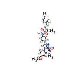 C\C=C/C(Cl)=C\C=C(/C)S(=O)(=O)Nc1ccc(C2=NN(C(C)=O)C(c3ccc(OC)cc3)C2)cc1